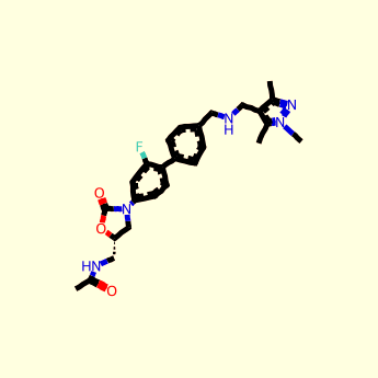 CC(=O)NC[C@H]1CN(c2ccc(-c3ccc(CNCc4c(C)nn(C)c4C)cc3)c(F)c2)C(=O)O1